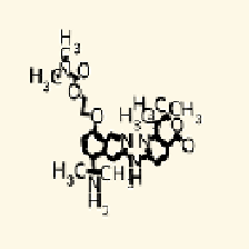 C[C@@H]1c2nc(Nc3cc4c(C(C)(C)N)ccc(OCCOC(=O)N(C)C)c4cn3)ccc2C(=O)OC1(C)C